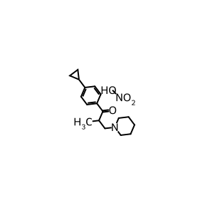 CC(CN1CCCCC1)C(=O)c1ccc(C2CC2)cc1.O=[N+]([O-])O